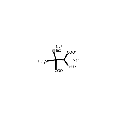 CCCCCCC(C(=O)[O-])C(CCCCCC)(C(=O)[O-])S(=O)(=O)O.[Na+].[Na+]